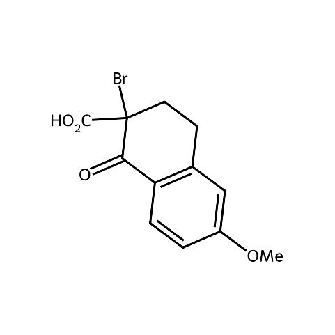 COc1ccc2c(c1)CCC(Br)(C(=O)O)C2=O